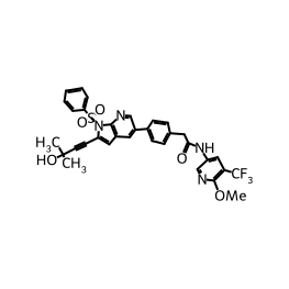 COc1ncc(NC(=O)Cc2ccc(-c3cnc4c(c3)cc(C#CC(C)(C)O)n4S(=O)(=O)c3ccccc3)cc2)cc1C(F)(F)F